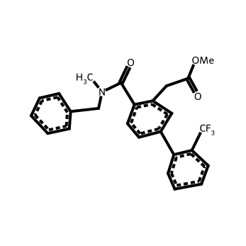 COC(=O)Cc1cc(-c2ccccc2C(F)(F)F)ccc1C(=O)N(C)Cc1ccccc1